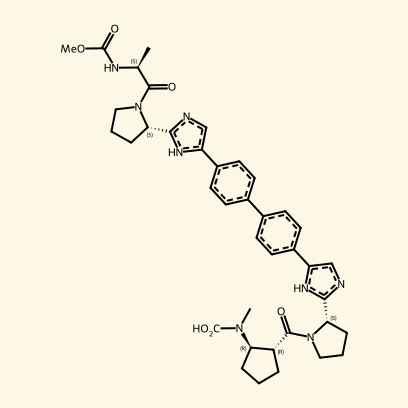 COC(=O)N[C@@H](C)C(=O)N1CCC[C@H]1c1ncc(-c2ccc(-c3ccc(-c4cnc([C@@H]5CCCN5C(=O)[C@@H]5CCC[C@H]5N(C)C(=O)O)[nH]4)cc3)cc2)[nH]1